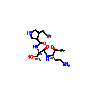 CC(C)CC1CNCC1C(=O)N[C@H](C(=O)N[C@@H](CCN)C(=O)C(C)C)[C@H](C)O